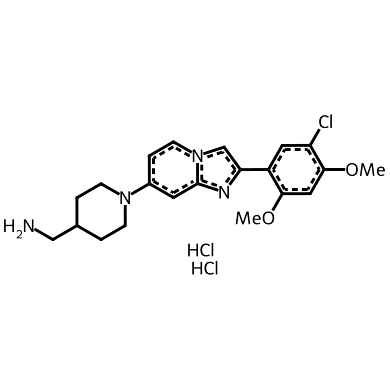 COc1cc(OC)c(-c2cn3ccc(N4CCC(CN)CC4)cc3n2)cc1Cl.Cl.Cl